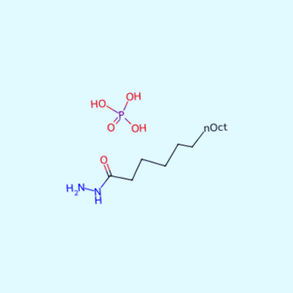 CCCCCCCCCCCCCC(=O)NN.O=P(O)(O)O